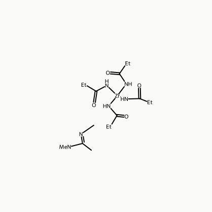 CCC(=O)[NH][Zr]([NH]C(=O)CC)([NH]C(=O)CC)[NH]C(=O)CC.CN=C(C)NC